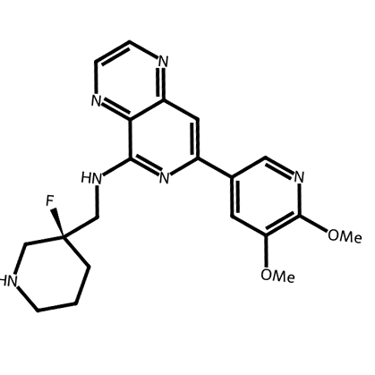 COc1cc(-c2cc3nccnc3c(NC[C@]3(F)CCCNC3)n2)cnc1OC